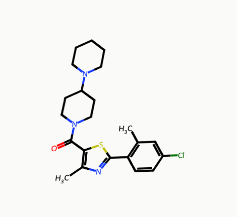 Cc1cc(Cl)ccc1-c1nc(C)c(C(=O)N2CCC(N3CCCCC3)CC2)s1